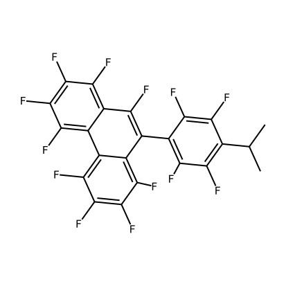 CC(C)c1c(F)c(F)c(-c2c(F)c3c(F)c(F)c(F)c(F)c3c3c(F)c(F)c(F)c(F)c23)c(F)c1F